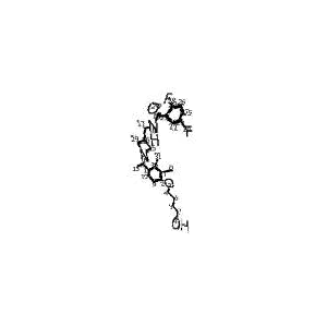 Cc1c(OCCCCO)ccc(C(C)N2CC(CNC(=O)c3cc(F)ccc3F)C2)c1C